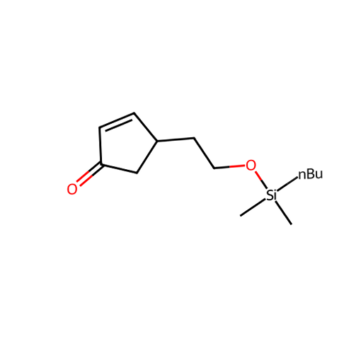 CCCC[Si](C)(C)OCCC1C=CC(=O)C1